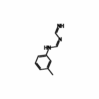 Cc1cccc(N/C=N\C=N)c1